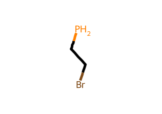 PCCBr